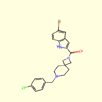 O=C(c1cc2cc(Br)ccc2[nH]1)N1CC2(CCN(Cc3ccc(Cl)cc3)CC2)C1